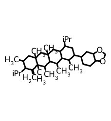 C=C1C(C(C)C)C(C)CC2(C)CC3(C)CC4C(C(C)C)CC(C5CCC6OCOC6C5)C(C)C4C(C)C3C(C)C12C